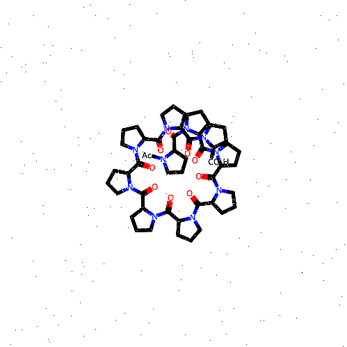 CC(=O)N1CCCC1C(=O)N1CCCC1C(=O)N1CCCC1C(=O)N1CCCC1C(=O)N1CCCC1C(=O)N1CCCC1C(=O)N1CCCC1C(=O)N1CCCC1C(=O)N1CCCC1C(=O)N1CCCC1C(=O)O